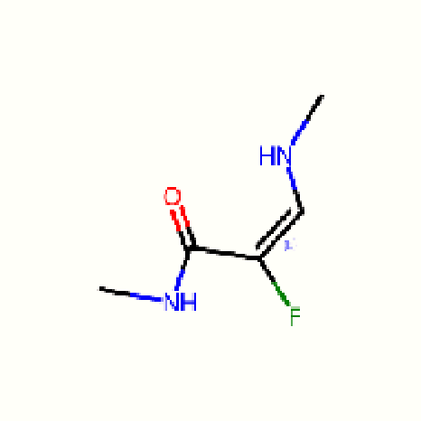 CN/C=C(/F)C(=O)NC